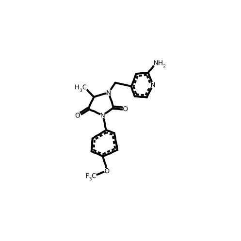 CC1C(=O)N(c2ccc(OC(F)(F)F)cc2)C(=O)N1Cc1ccnc(N)c1